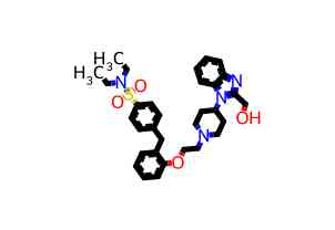 CCN(CC)S(=O)(=O)c1ccc(Cc2ccccc2OCCN2CCC(n3c(CO)nc4ccccc43)CC2)cc1